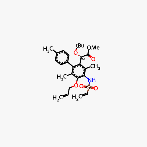 C=CCOc1c(C)c(-c2ccc(C)cc2)c([C@H](OC(C)(C)C)C(=O)OC)c(C)c1NS(=O)(=O)C=C